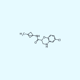 [CH2]C12CC(NC(=O)C3CNc4cc(Cl)ccc4O3)(C1)C2